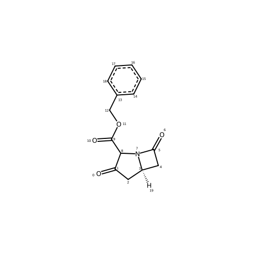 O=C1C[C@@H]2CC(=O)N2C1C(=O)OCc1ccccc1